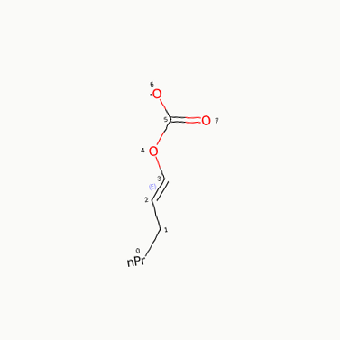 CCCC/C=C/OC([O])=O